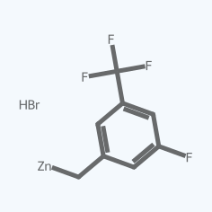 Br.Fc1cc([CH2][Zn])cc(C(F)(F)F)c1